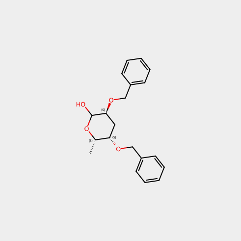 C[C@@H]1OC(O)[C@@H](OCc2ccccc2)C[C@@H]1OCc1ccccc1